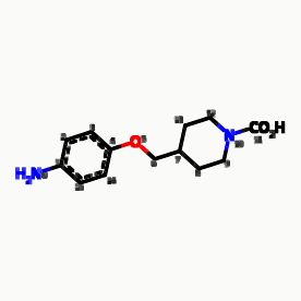 Nc1ccc(OCC2CCN(C(=O)O)CC2)cc1